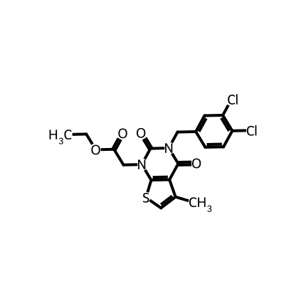 CCOC(=O)Cn1c(=O)n(Cc2ccc(Cl)c(Cl)c2)c(=O)c2c(C)csc21